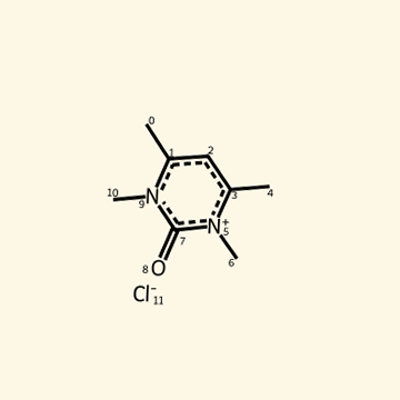 Cc1cc(C)[n+](C)c(=O)n1C.[Cl-]